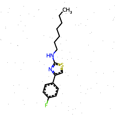 CCCCCCCNc1nc(-c2ccc(F)cc2)cs1